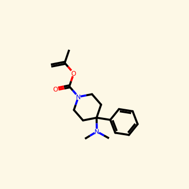 C=C(C)OC(=O)N1CCC(c2ccccc2)(N(C)C)CC1